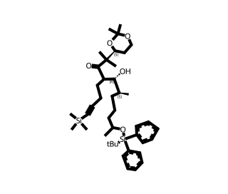 CC(CCC[C@H](C)[C@@H](O)C(CCC#C[Si](C)(C)C)C(=O)C(C)(C)[C@@H]1CCOC(C)(C)O1)O[Si](c1ccccc1)(c1ccccc1)C(C)(C)C